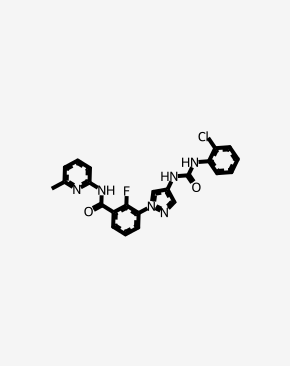 Cc1cccc(NC(=O)c2cccc(-n3cc(NC(=O)Nc4ccccc4Cl)cn3)c2F)n1